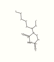 CCCCCC(CC)C1CCC(=O)NC1=O